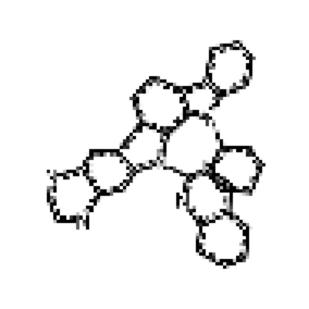 c1ccc(-n2c3ccccc3c3ccc4c5cc6nccnc6cc5n(-c5ncc6ccccc6n5)c4c32)cc1